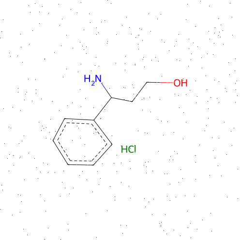 Cl.NC(CCO)c1ccccc1